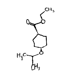 CCOC(=O)[C@H]1CC[C@@H](OC(C)C)CC1